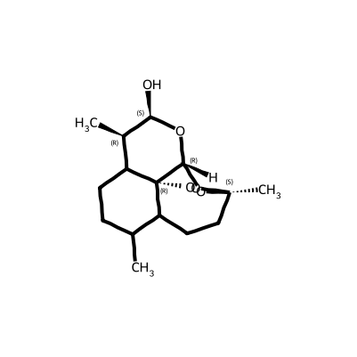 CC1CCC2[C@@H](C)[C@@H](O)O[C@@H]3O[C@]4(C)CCC1[C@@]23OO4